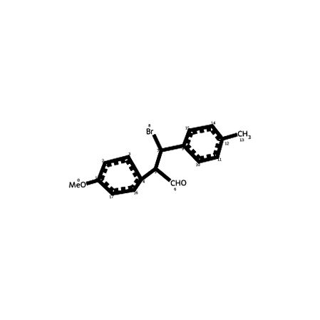 COc1ccc(C(C=O)C(Br)c2ccc(C)cc2)cc1